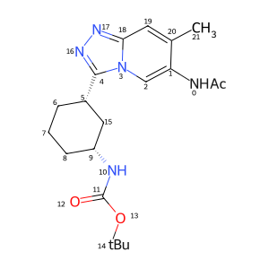 CC(=O)Nc1cn2c([C@H]3CCC[C@@H](NC(=O)OC(C)(C)C)C3)nnc2cc1C